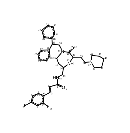 O=C(/C=C/c1ccc(F)cc1F)NCC1CCN(CC(c2ccccc2)c2ccccc2)C(=O)C(CCN2CCCCC2)N1